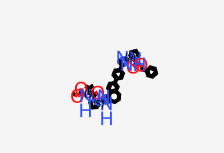 COC(=O)N[C@H](C(=O)N1CCC[C@H]1c1nc2c([nH]1)CCCc1cc(-c3ccc(-c4cnc([C@@H]5CCCN5C(=O)OCc5ccccc5)[nH]4)cc3)ccc1-2)C(C)C